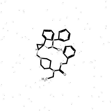 CCN(C(=O)OCc1ccccc1)C1CCN(C[C@@H]2C[C@@]2(CN(C)Sc2ccccc2)c2ccccc2)CC1